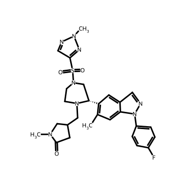 Cc1cc2c(cnn2-c2ccc(F)cc2)cc1[C@H]1CN(S(=O)(=O)c2cnn(C)n2)CCN1CC1CC(=O)N(C)C1